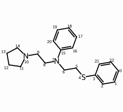 c1ccc(SCCN(CCN2CCCC2)c2ccccc2)cc1